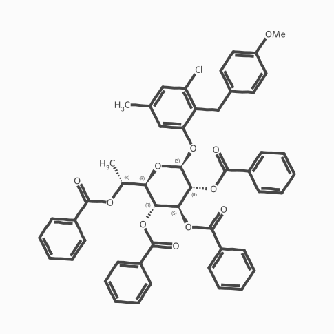 COc1ccc(Cc2c(Cl)cc(C)cc2O[C@@H]2O[C@H]([C@@H](C)OC(=O)c3ccccc3)[C@@H](OC(=O)c3ccccc3)[C@H](OC(=O)c3ccccc3)[C@H]2OC(=O)c2ccccc2)cc1